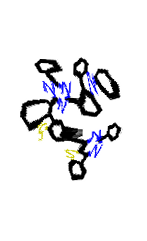 c1ccc(-c2nc(-c3cccc4sc5cc(-c6nc(-c7ccccc7)nc7c6sc6ccccc67)ccc5c34)nc(-c3cccc4c3c3ccccc3n4-c3ccccc3)n2)cc1